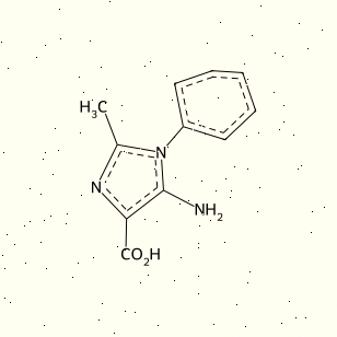 Cc1nc(C(=O)O)c(N)n1-c1ccccc1